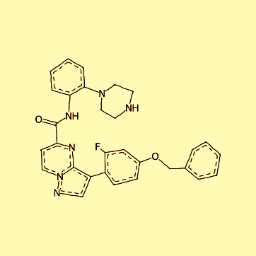 O=C(Nc1ccccc1N1CCNCC1)c1ccn2ncc(-c3ccc(OCc4ccccc4)cc3F)c2n1